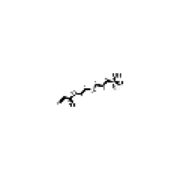 C=CC(=O)OCCOCCCP(=O)(O)O